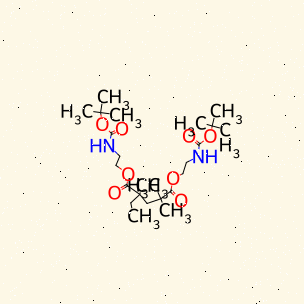 CCC(C)(CC(C)(C)C(=O)OCCNC(=O)OC(C)(C)C)C(=O)OCCNC(=O)OC(C)(C)C